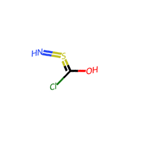 N=S=C(O)Cl